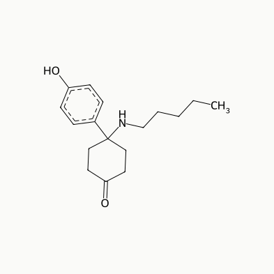 CCCCCNC1(c2ccc(O)cc2)CCC(=O)CC1